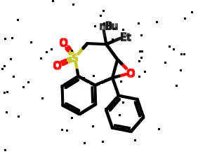 CCCCC1(CC)CS(=O)(=O)c2ccccc2C2(c3ccccc3)OC12